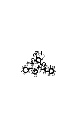 COc1ccc(C(=O)N(C/C(C)=C/c2ccccc2)C[C@@H]2CCCN2CC2CCCCC2)cc1OC(F)F